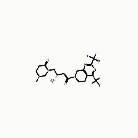 C[C@H]1CCC(=O)N(C[C@@H](N)CC(=O)N2CCc3c(nc(C(F)(F)F)nc3C(F)(F)F)C2)C1